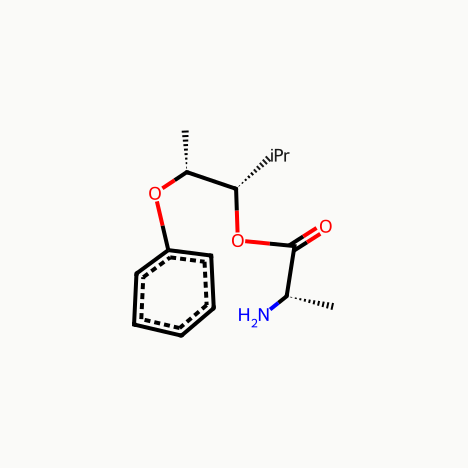 CC(C)[C@H](OC(=O)[C@H](C)N)[C@@H](C)Oc1ccccc1